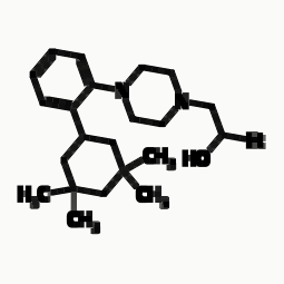 CCC(O)CN1CCN(c2ccccc2C2CC(C)(C)CC(C)(C)C2)CC1